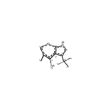 Cc1cnc2[nH]cc(C(C)(C)C)c2c1O